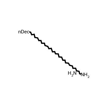 CCCCCCCCCCCCCCCCCCCCCCCCCCCCCCCCCCCCCC(N)CCN